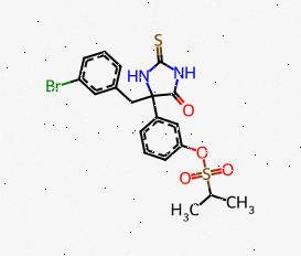 CC(C)S(=O)(=O)Oc1cccc(C2(Cc3cccc(Br)c3)NC(=S)NC2=O)c1